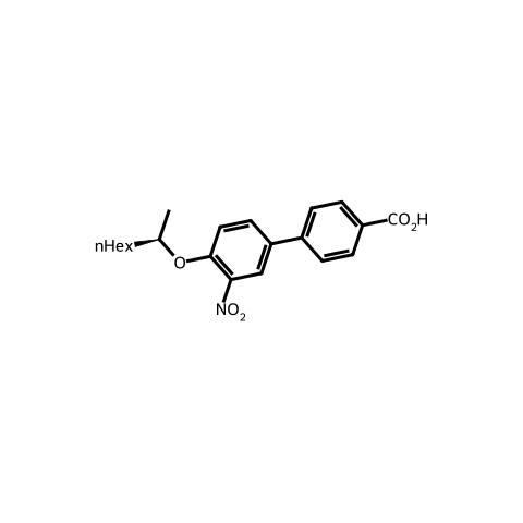 CCCCCC[C@@H](C)Oc1ccc(-c2ccc(C(=O)O)cc2)cc1[N+](=O)[O-]